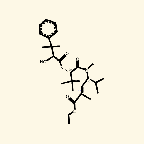 CCOC(=O)/C(C)=C/[C@H](C(C)C)N(C)C(=O)[C@@H](NC(=O)C(O)C(C)(C)c1ccccc1)C(C)(C)C